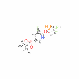 CC1(C)OB(c2cnc(OCC(F)(F)P)c(F)c2)OC1(C)C